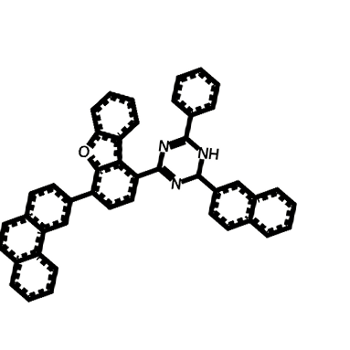 c1ccc(C2=NC(c3ccc(-c4ccc5ccc6ccccc6c5c4)c4oc5ccccc5c34)=NC(c3ccc4ccccc4c3)N2)cc1